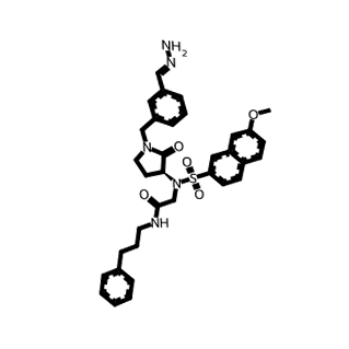 COc1ccc2ccc(S(=O)(=O)N(CC(=O)NCCCc3ccccc3)[C@H]3CCN(Cc4cccc(C=NN)c4)C3=O)cc2c1